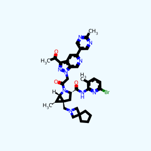 CC(=O)c1nn(CC(=O)N2[C@H]3[C@@H](C)[C@@]3(CN3CC4(CCCC4)C3)C[C@H]2C(=O)Nc2nc(Br)ccc2C)c2cnc(-c3cnc(C)nc3)cc12